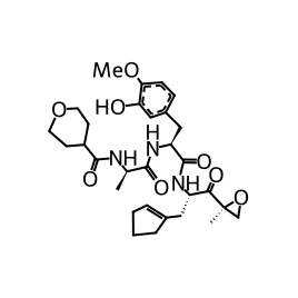 COc1ccc(C[C@H](NC(=O)[C@@H](C)NC(=O)C2CCOCC2)C(=O)N[C@@H](CC2=CCCC2)C(=O)[C@]2(C)CO2)cc1O